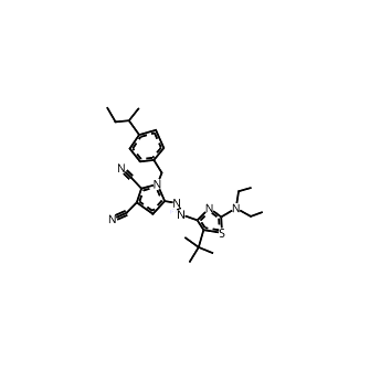 CCC(C)c1ccc(Cn2c(/N=N/c3nc(N(CC)CC)sc3C(C)(C)C)cc(C#N)c2C#N)cc1